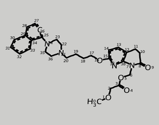 COCC(=O)OCN1C(=O)CCc2ccc(OCCCCN3CCN(c4cccc5ccccc45)CC3)nc21